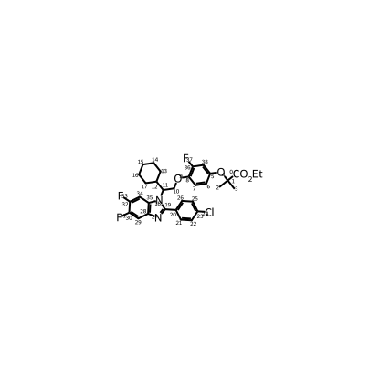 CCOC(=O)C(C)(C)Oc1ccc(OCC(C2CCCCC2)n2c(-c3ccc(Cl)cc3)nc3cc(F)c(F)cc32)c(F)c1